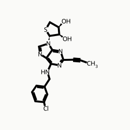 CC#Cc1nc(NCc2cccc(Cl)c2)c2ncn([C@@H]3SC[C@@H](O)[C@H]3O)c2n1